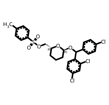 Cc1ccc(S(=O)(=O)OC[C@H]2CCC[C@H](OC(c3ccc(Cl)cc3)c3ccc(Cl)cc3Cl)O2)cc1